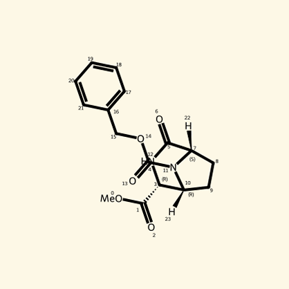 COC(=O)[C@@H]1NC(=O)[C@@H]2CC[C@H]1N2C(=O)OCc1ccccc1